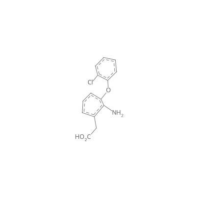 Nc1c(CC(=O)O)cccc1Oc1ccccc1Cl